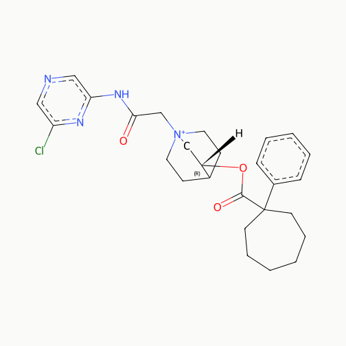 O=C(C[N+]12CCC(CC1)[C@@H](OC(=O)C1(c3ccccc3)CCCCCC1)C2)Nc1cncc(Cl)n1